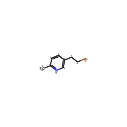 FC(F)(F)c1ccc(CCS)cn1